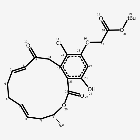 C[C@@H]1C/C=C/CC/C=C/C(=O)Cc2c(Cl)c(OCC(=O)OC(C)(C)C)cc(O)c2C(=O)O1